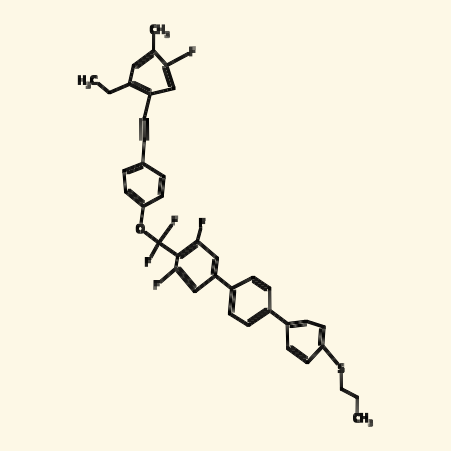 CCCSc1ccc(-c2ccc(-c3cc(F)c(C(F)(F)Oc4ccc(C#Cc5cc(F)c(C)cc5CC)cc4)c(F)c3)cc2)cc1